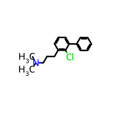 CN(C)CCCc1cccc(-c2ccccc2)c1Cl